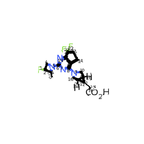 C[C@H]1C(F)CN1c1nc(N2C[C@@H]3[C@@H](CC(=O)O)[C@@H]3C2)c2c(n1)C(F)(F)CC2